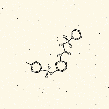 Cc1ccc(S(=O)(=O)Oc2cccc(NC(=O)NS(=O)(=O)c3ccccc3)c2)cc1